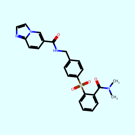 CN(C)C(=O)c1ccccc1S(=O)(=O)c1ccc(CNC(=O)c2ccc3nccn3c2)cc1